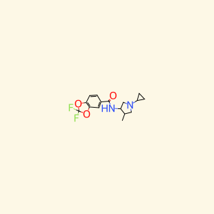 CC1CN(C2CC2)CC1NC(=O)c1ccc2c(c1)OC(F)(F)O2